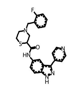 O=C(Nc1ccc2[nH]nc(-c3ccncc3)c2c1)C1CN(Cc2ccccc2F)CCS1